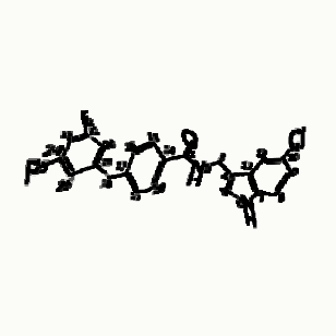 O=C(NCc1c[nH]c2ccc(Cl)cc12)c1ccc(Cc2cc(F)cc(F)c2)cc1